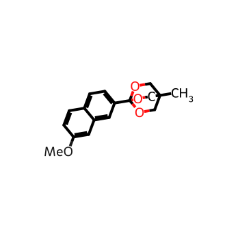 COc1ccc2ccc(C34OCC(C)(CO3)CO4)cc2c1